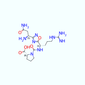 N=C(N)NCCC[C@H](NC(=O)N1CCC[C@@H]1C(=O)O)c1nc([C@@H](N)CC(N)=O)no1